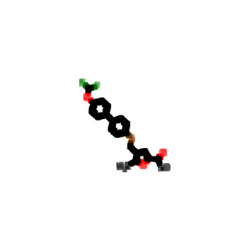 Cc1oc(C(=O)N=O)cc1CSc1ccc(-c2ccc(OC(F)F)cc2)cc1